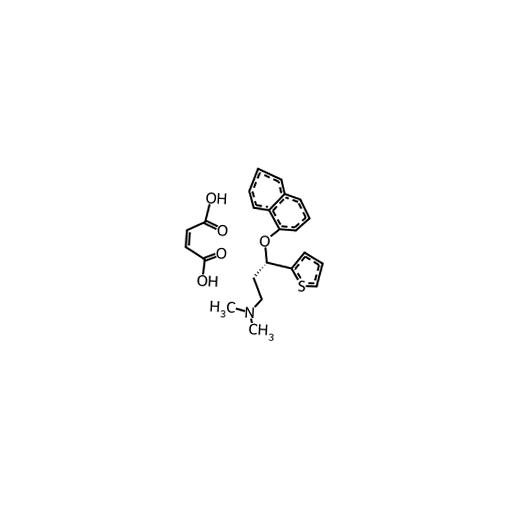 CN(C)CC[C@H](Oc1cccc2ccccc12)c1cccs1.O=C(O)/C=C\C(=O)O